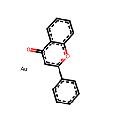 O=c1cc(-c2ccccc2)oc2ccccc12.[Au]